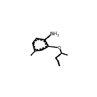 CCC(C)Oc1cc(C)ccc1N